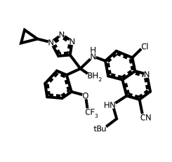 BC(Nc1cc(Cl)c2ncc(C#N)c(NCC(C)(C)C)c2c1)(c1cn(C2CC2)nn1)c1ccccc1OC(F)(F)F